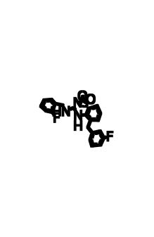 O=S1(=O)N=C(NCc2ccccc2F)Nc2c(Cc3cccc(F)c3)cccc21